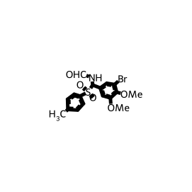 COc1cc(C(NC=O)S(=O)(=O)c2ccc(C)cc2)cc(Br)c1OC